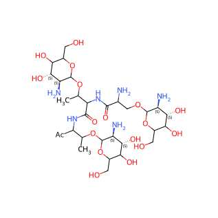 CC(=O)C(NC(=O)C(NC(=O)C(N)COC1OC(CO)C(O)[C@@H](O)[C@@H]1N)C(C)OC1OC(CO)C(O)[C@@H](O)[C@@H]1N)C(C)OC1OC(CO)C(O)[C@@H](O)[C@@H]1N